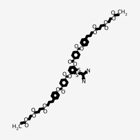 C=CC(=O)OCCOC(=O)CCC(=O)OCCCc1ccc(OC(=O)[C@H]2CC[C@H](C(=O)Oc3ccc(OC(=O)[C@H]4CC[C@H](C(=O)Oc5ccc(CCCOC(=O)CCC(=O)OCCOC(=O)C=C)cc5)CC4)c4c3SC(=C(C#N)C#N)S4)CC2)cc1